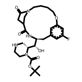 CC(C)(C)OC(=O)N1CCNC[C@@H]1[C@@H](O)[C@@H]1Cc2cc(F)cc(c2)OCCCCN2CC(CC2=O)C(=O)N1